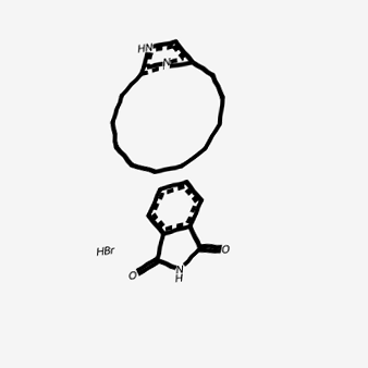 Br.O=C1NC(=O)c2ccccc21.c1[nH]c2nc1CCCCCCCCCC2